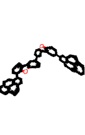 c1cc2ccc3cc(-c4ccc5oc6ccc(-c7ccc8oc9c(-c%10ccc%11ccc%12cccc%13ccc%10c%11c%12%13)cccc9c8c7)cc6c5c4)cc4ccc(c1)c2c34